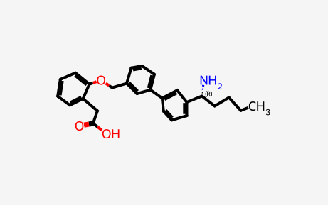 CCCC[C@@H](N)c1cccc(-c2cccc(COc3ccccc3CC(=O)O)c2)c1